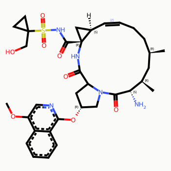 COc1cnc(O[C@@H]2CC3C(=O)N[C@]4(C(=O)NS(=O)(=O)C5(CO)CC5)C[C@H]4/C=C\CC[C@@H](C)C[C@@H](C)[C@H](N)C(=O)N3C2)c2ccccc12